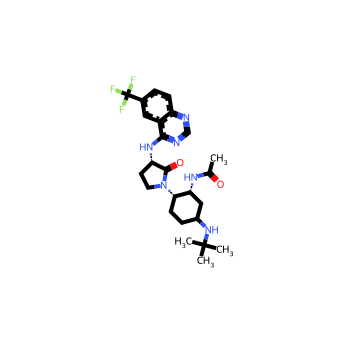 CC(=O)N[C@@H]1CC(NC(C)(C)C)CC[C@@H]1N1CC[C@H](Nc2ncnc3ccc(C(F)(F)F)cc23)C1=O